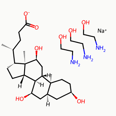 C[C@H](CCC(=O)[O-])[C@H]1CC[C@H]2[C@@H]3[C@H](O)C[C@@H]4C[C@H](O)CC[C@]4(C)[C@H]3C[C@H](O)[C@]12C.NCCO.NCCO.NCCO.[Na+]